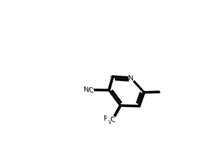 Cc1cc(C(F)(F)F)c(C#N)[c]n1